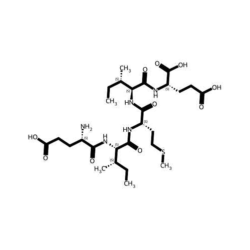 CC[C@H](C)[C@H](NC(=O)[C@H](CCSC)NC(=O)[C@@H](NC(=O)[C@@H](N)CCC(=O)O)[C@@H](C)CC)C(=O)N[C@@H](CCC(=O)O)C(=O)O